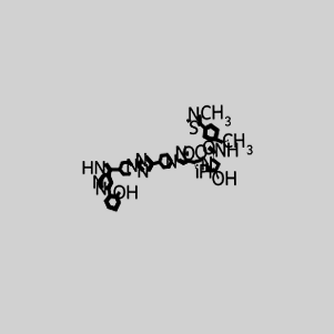 Cc1ncsc1-c1ccc([C@H](C)NC(=O)[C@@H]2C[C@@H](O)CN2C(=O)[C@@H](c2cc(N3CCC(c4cnc(N5CCC(c6c[nH]c7nnc(-c8ccccc8O)cc67)CC5)nc4)CC3)no2)C(C)C)cc1